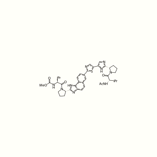 COC(=O)N[C@H](C(=O)N1CCC[C@H]1c1nc2ccc3cc(-c4ncc(-c5cnc([C@@H]6CCCN6C(=O)[C@@H](NC(C)=O)C(C)C)[nH]5)s4)ccc3c2[nH]1)C(C)C